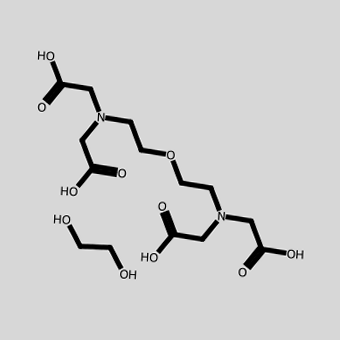 O=C(O)CN(CCOCCN(CC(=O)O)CC(=O)O)CC(=O)O.OCCO